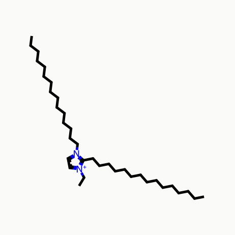 CCCCCCCCCCCCCCCc1n(CCCCCCCCCCCCCCC)cc[n+]1CC